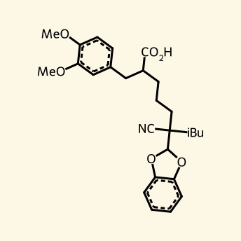 CCC(C)C(C#N)(CCCC(Cc1ccc(OC)c(OC)c1)C(=O)O)C1Oc2ccccc2O1